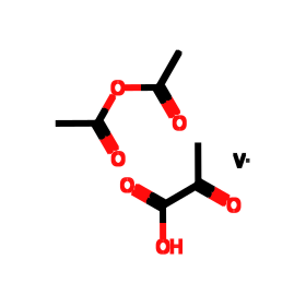 CC(=O)C(=O)O.CC(=O)OC(C)=O.[V]